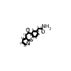 NC(=O)Cc1ccc2c(c1)C(=O)Cc1cccnc1S2